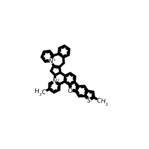 Cc1ccc2[n+](c1)C1CC3=C(Cc4ccccc4-c4cccc[n+]43)C1c1ccc3c(oc4cc5sc(C)cc5cc43)c1-2